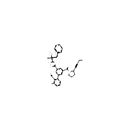 CCC#CC1CCCN1C(=O)c1cc(-c2nnc(C(C)(N)Cc3ccccc3)o2)cc(-c2cccc(F)c2C#N)c1